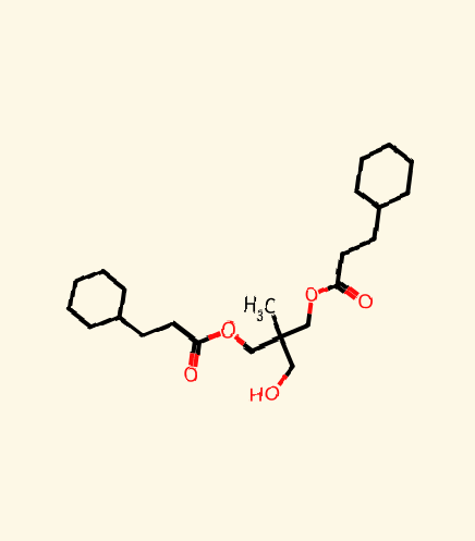 CC(CO)(COC(=O)CCC1CCCCC1)COC(=O)CCC1CCCCC1